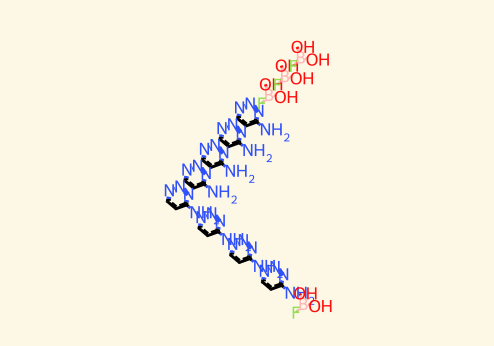 Nc1ccnnn1.Nc1ccnnn1.Nc1ccnnn1.Nc1ccnnn1.Nc1ccnnn1.Nc1ccnnn1.Nc1ccnnn1.Nc1ccnnn1.OB(O)F.OB(O)F.OB(O)F.OB(O)F